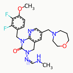 CN/C=N\N1Cc2cc(CN3CCCOCC3)cnc2N(Cc2ccc(OC)c(F)c2F)C1=O